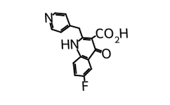 O=C(O)c1c(Cc2ccncc2)[nH]c2ccc(F)cc2c1=O